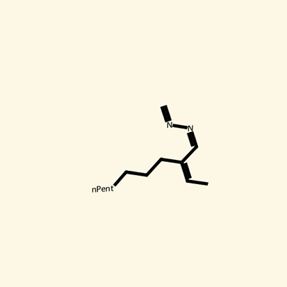 C=N/N=C\C(=C/C)CCCCCCCC